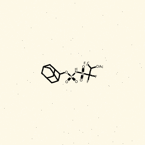 CC(=O)OC(C(F)(F)F)C(F)(F)S(=O)(=O)NS(=O)(=O)OC1C2CC3CC(C2)CC1C3